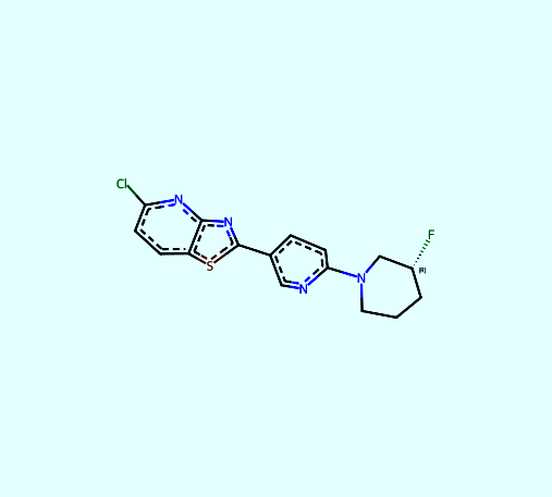 F[C@@H]1CCCN(c2ccc(-c3nc4nc(Cl)ccc4s3)cn2)C1